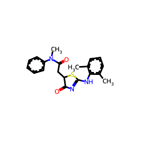 Cc1cccc(C)c1NC1=NC(=O)C(CC(=O)N(C)c2ccccc2)S1